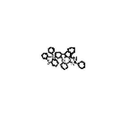 c1ccc(-c2nc(-c3ccccc3)nc(-c3ccccc3-n3c4ccccc4c4ccc([Si]5(c6ccccc6)c6ccccc6Sc6ccccc65)cc43)n2)cc1